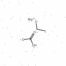 CC[O-].O=C([O-])O.[Mg+2]